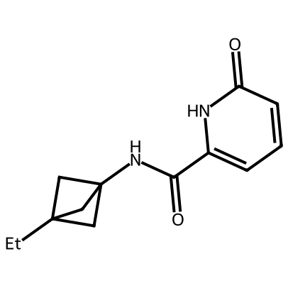 CCC12CC(NC(=O)c3cccc(=O)[nH]3)(C1)C2